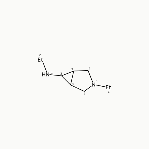 CCNC1C2CN(CC)CC21